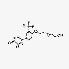 O=c1ccc(-c2ccc(OCCOCCO)c(C(F)(F)F)c2)n[nH]1